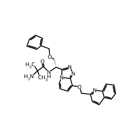 CC(C)(N)C(=O)N[C@H](COCc1ccccc1)c1nnc2c(OCc3ccc4ccccc4n3)cccn12